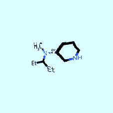 CCC(CC)N(C)[C@@H]1CCCNC1